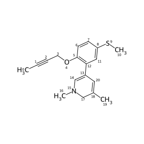 CC#CCOc1ccc(SC)cc1C1=CN(C)CC(C)=C1